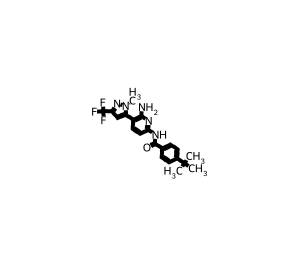 Cn1nc(C(F)(F)F)cc1-c1ccc(NC(=O)c2ccc(C(C)(C)C)cc2)nc1N